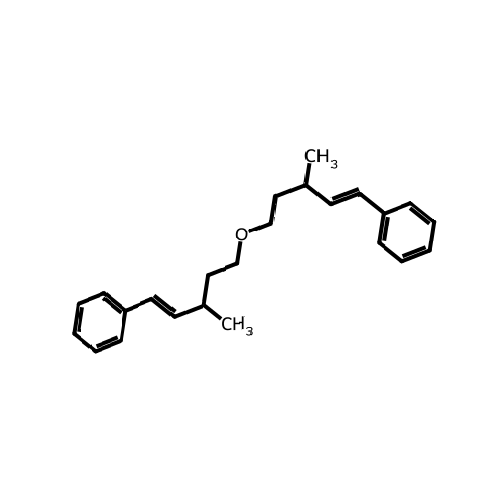 CC(C=Cc1ccccc1)CCOCCC(C)C=Cc1ccccc1